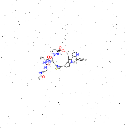 C=CC(=O)N(C)[C@H]1CCN(C(=O)N(C)C(C(=O)N[C@H]2Cc3nc(cs3)-c3ccc4c(c3)c(c(-c3cccnc3[C@H](C)OC)n4CC)CC(C)(C)COC(=O)[C@@H]3CCCN(N3)C2=O)C(C)C)C1